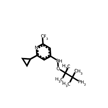 CC(C)(P)C(C)(C)OBc1cc(C2CC2)nc(C(F)(F)F)c1